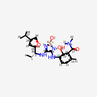 CC[C@@H](Nc1n[s+]([O-])nc1Nc1ccc(C)c(C(=O)N(C)C)c1O)c1cc(C(C)C)co1